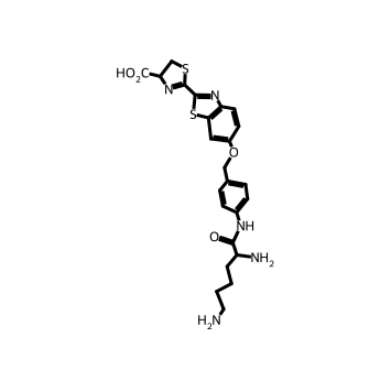 NCCCCC(N)C(=O)Nc1ccc(COc2ccc3nc(C4=NC(C(=O)O)CS4)sc3c2)cc1